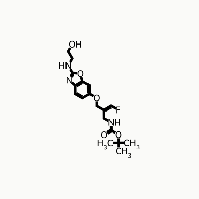 CC(C)(C)OC(=O)NCC(=CF)COc1ccc2nc(NCCO)oc2c1